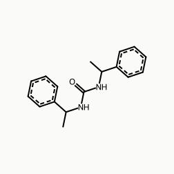 CC(NC(=O)NC(C)c1ccccc1)c1ccccc1